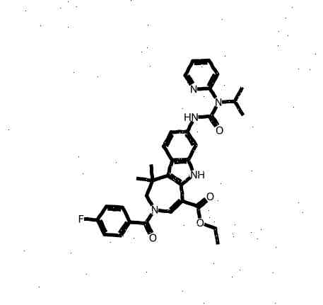 CCOC(=O)C1=CN(C(=O)c2ccc(F)cc2)CC(C)(C)c2c1[nH]c1cc(NC(=O)N(c3ccccn3)C(C)C)ccc21